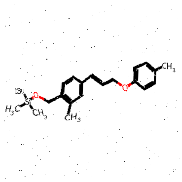 Cc1ccc(OC/C=C/c2ccc(CO[Si](C)(C)C(C)(C)C)c(C)c2)cc1